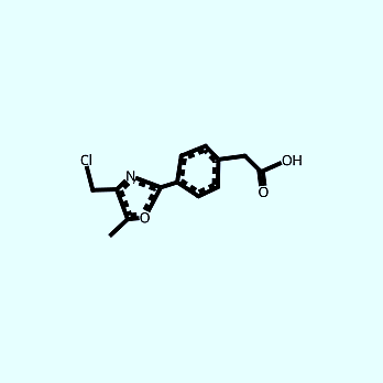 Cc1oc(-c2ccc(CC(=O)O)cc2)nc1CCl